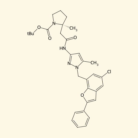 Cc1cc(NC(=O)C[C@]2(C)CCCN2C(=O)OC(C)(C)C)nn1Cc1cc(Cl)cc2cc(-c3ccccc3)oc12